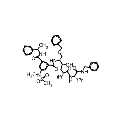 CC(C)[C@H](C[C@H](O)[C@H](COCc1ccccc1)NC(=O)c1cc(C(=O)N[C@H](C)c2ccccc2)cc(N(C)S(C)(=O)=O)c1)C(=O)N[C@H](C(=O)NCc1ccccc1)C(C)C